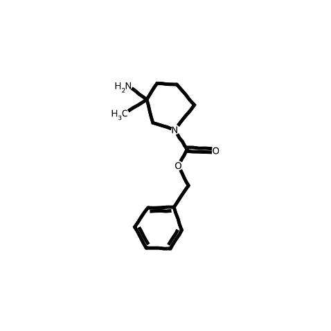 CC1(N)CCCN(C(=O)OCc2ccccc2)C1